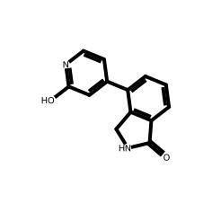 O=C1NCc2c1cccc2-c1ccnc(O)c1